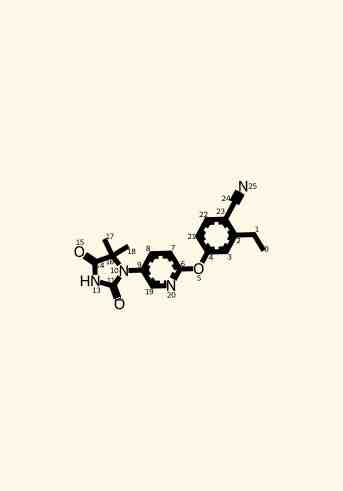 CCc1cc(Oc2ccc(N3C(=O)NC(=O)C3(C)C)cn2)ccc1C#N